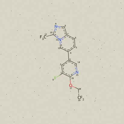 Fc1cc(-c2ccc3cnc(C(F)(F)F)n3c2)cnc1OCC(F)(F)F